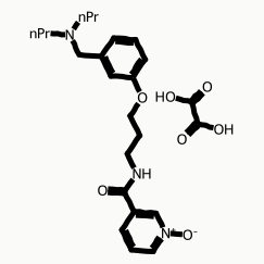 CCCN(CCC)Cc1cccc(OCCCNC(=O)c2ccc[n+]([O-])c2)c1.O=C(O)C(=O)O